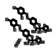 CC(C)(C)C(=O)[C]([Zn+2])(Oc1ccc(N=Nc2ccc(Cl)cc2Cl)cc1)c1nc[nH]n1.CC(C)(C)C(=O)[C]([Zn+2])(Oc1ccc(N=Nc2ccc(Cl)cc2Cl)cc1)c1nc[nH]n1.[Cl-].[Cl-].[Cl-].[Cl-]